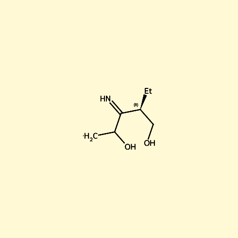 [CH2]C(O)C(=N)[C@@H](CC)CO